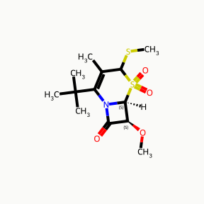 CO[C@H]1C(=O)N2C(C(C)(C)C)=C(C)C(SC)S(=O)(=O)[C@@H]12